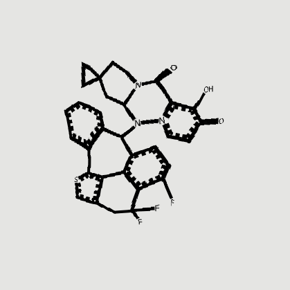 O=C1c2c(O)c(=O)ccn2N(C2c3ccccc3-c3scc4c3-c3c2ccc(F)c3C(F)(F)C4)C2CC3(CCN12)CC3